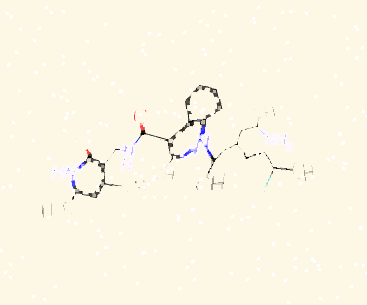 COc1cc(C)[nH]c(=O)c1CNC(=O)c1c(C)n(C(C)C(CCC(C)F)CC(C)N)c2ccccc12